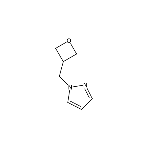 c1cnn(CC2COC2)c1